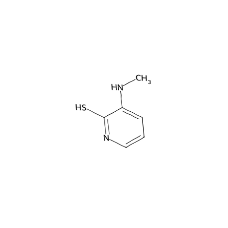 CNc1cccnc1S